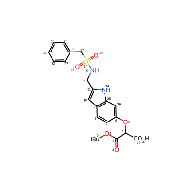 CCC(C)OC(=O)C(Oc1ccc2cc(CNS(=O)(=O)Cc3ccccc3)[nH]c2c1)C(=O)O